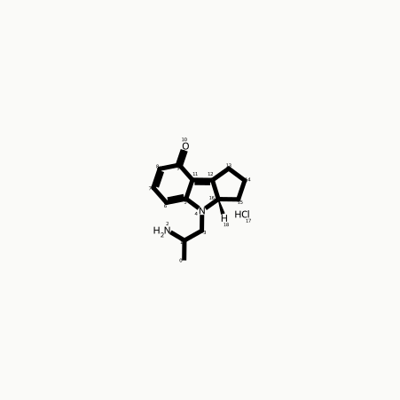 CC(N)CN1C2=CC=CC(=O)C2=C2CCC[C@@H]21.Cl